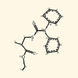 CCOC(=O)C(C)CSC(=O)N(c1ccccc1)c1ccccc1